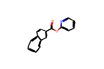 O=C(Oc1ccccn1)c1ccc2ccccc2c1